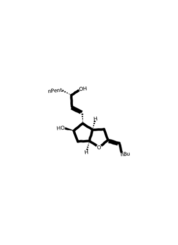 CCCC/C=C1/C[C@@H]2[C@@H](/C=C/[C@@H](O)CCCCC)[C@H](O)C[C@@H]2O1